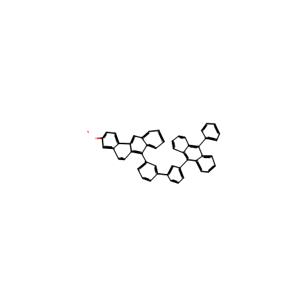 COc1ccc2c(ccc3c(-c4cccc(-c5cccc(-c6c7ccccc7c(-c7ccccc7)c7ccccc67)c5)c4)c4ccccc4cc32)c1